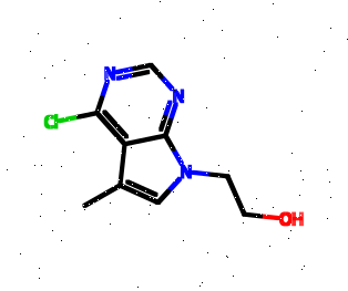 Cc1cn(CCO)c2ncnc(Cl)c12